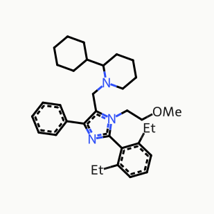 CCc1cccc(CC)c1-c1nc(-c2ccccc2)c(CN2CCCCC2C2CCCCC2)n1CCOC